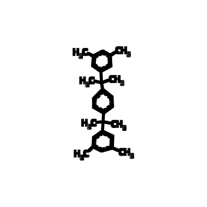 Cc1cc(C)cc(C(C)(C)c2ccc(C(C)(C)c3cc(C)cc(C)c3)cc2)c1